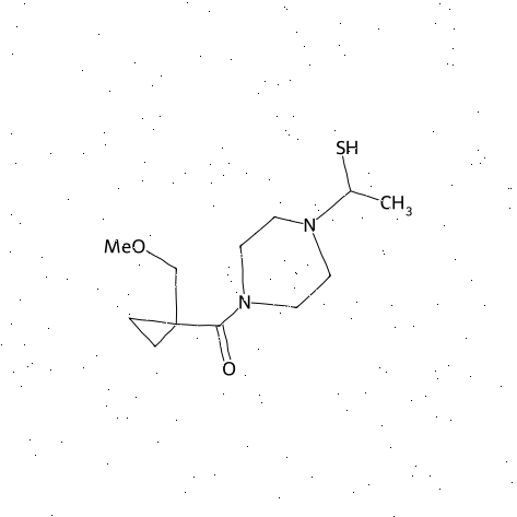 COCC1(C(=O)N2CCN(C(C)S)CC2)CC1